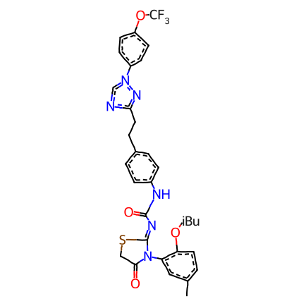 CCC(C)Oc1ccc(C)cc1N1C(=O)CSC1=NC(=O)Nc1ccc(CCc2ncn(-c3ccc(OC(F)(F)F)cc3)n2)cc1